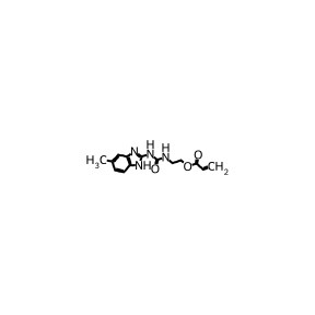 C=CC(=O)OCCNC(=O)Nc1nc2cc(C)ccc2[nH]1